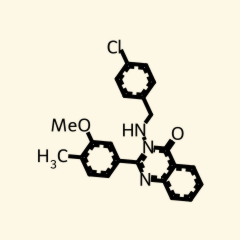 COc1cc(-c2nc3ccccc3c(=O)n2NCc2ccc(Cl)cc2)ccc1C